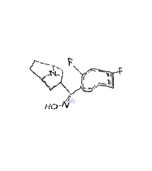 CN1C2CCC1CC(/C(=N\O)c1ccc(F)cc1F)C2